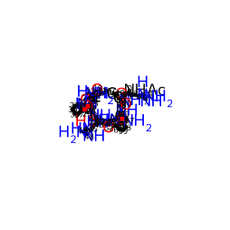 CC(=O)N[C@@H](CCCNC(=N)N)C(=O)N[C@H]1CCCCNC(=O)C[C@@H](C(N)=O)NC(=O)[C@H](Cc2c[nH]c3ccccc23)NC(O)[C@H](CCCNC(=N)N)NC(=O)[C@@H](Cc2ccccc2)NC(=O)[C@H](CCN)NC1=O